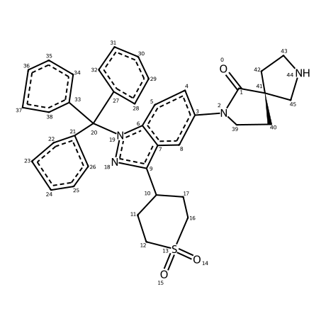 O=C1N(c2ccc3c(c2)c(C2CCS(=O)(=O)CC2)nn3C(c2ccccc2)(c2ccccc2)c2ccccc2)CC[C@]12CCNC2